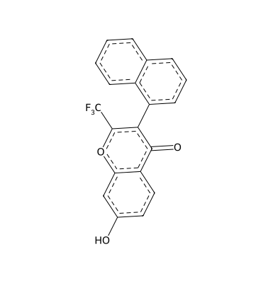 O=c1c(-c2cccc3ccccc23)c(C(F)(F)F)oc2cc(O)ccc12